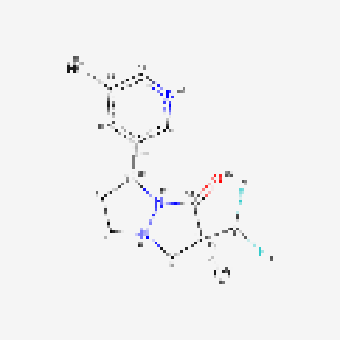 CCC[C@]1(C(F)F)CN2CC[C@H](c3cncc(C#N)c3)N2C1=O